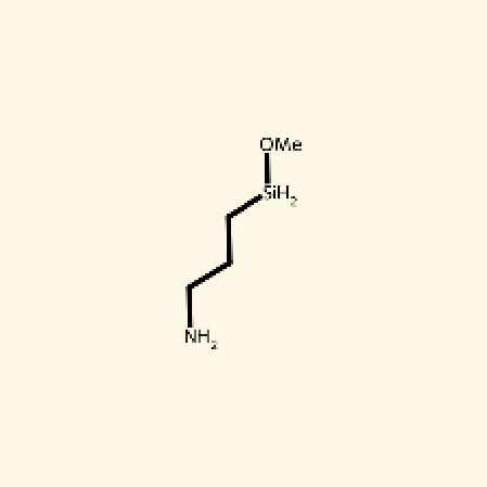 CO[SiH2]CCCN